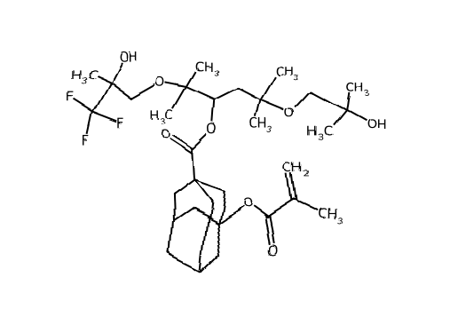 C=C(C)C(=O)OC12CC3CC(C1)CC(C(=O)OC(CC(C)(C)OCC(C)(C)O)C(C)(C)OCC(C)(O)C(F)(F)F)(C3)C2